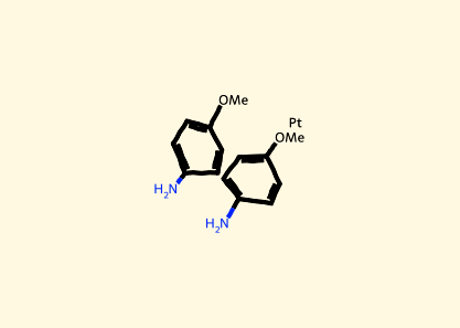 COc1ccc(N)cc1.COc1ccc(N)cc1.[Pt]